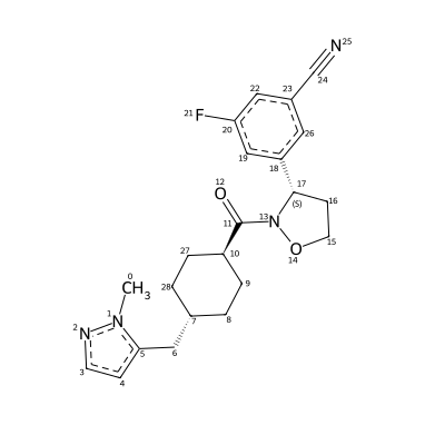 Cn1nccc1C[C@H]1CC[C@H](C(=O)N2OCC[C@H]2c2cc(F)cc(C#N)c2)CC1